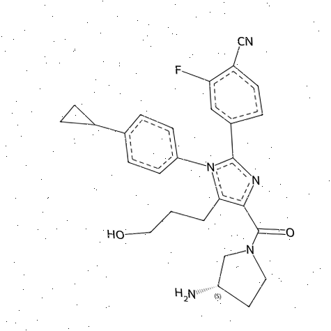 N#Cc1ccc(-c2nc(C(=O)N3CC[C@H](N)C3)c(CCCO)n2-c2ccc(C3CC3)cc2)cc1F